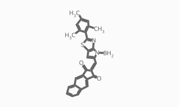 Bn1c(C=C2C(=O)c3cc4ccccc4cc3C2=O)cc2sc(-c3c(C)cc(C)cc3C)nc21